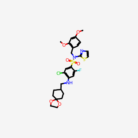 COc1ccc(CN(c2nccs2)S(=O)(=O)c2cc(Cl)c(NCC3CCC4(CC3)OCCO4)cc2F)c(OC)c1